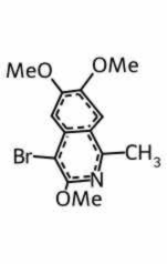 COc1cc2c(C)nc(OC)c(Br)c2cc1OC